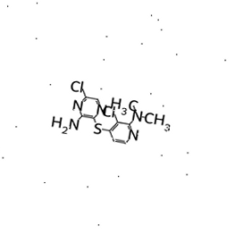 CN(C)c1nccc(Sc2ncc(Cl)nc2N)c1Cl